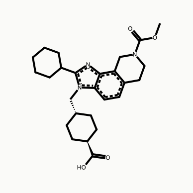 COC(=O)N1CCc2ccc3c(nc(C4CCCCC4)n3C[C@H]3CC[C@H](C(=O)O)CC3)c2C1